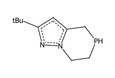 CC(C)(C)c1cc2n(n1)CCPC2